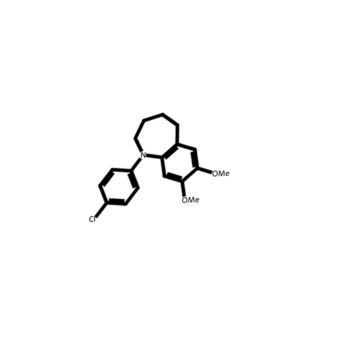 COc1cc2c(cc1OC)N(c1ccc(Cl)cc1)CCCC2